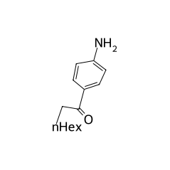 CCCCCCCC(=O)c1ccc(N)cc1